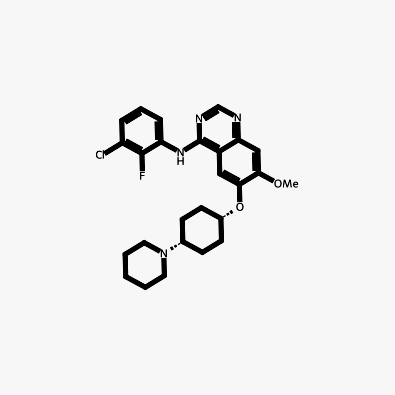 COc1cc2ncnc(Nc3cccc(Cl)c3F)c2cc1O[C@H]1CC[C@@H](N2CCCCC2)CC1